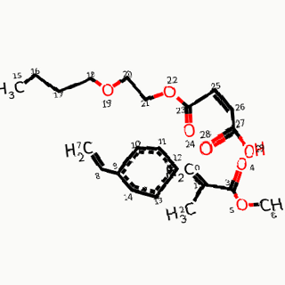 C=C(C)C(=O)OC.C=Cc1ccccc1.CCCCOCCOC(=O)/C=C\C(=O)O